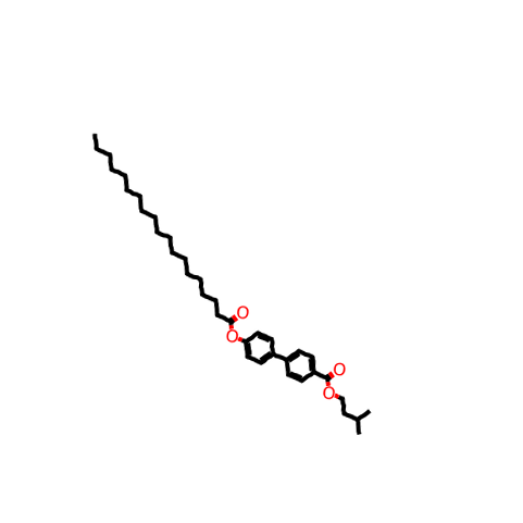 CCCCCCCCCCCCCCCCCCC(=O)Oc1ccc(-c2ccc(C(=O)OCCC(C)C)cc2)cc1